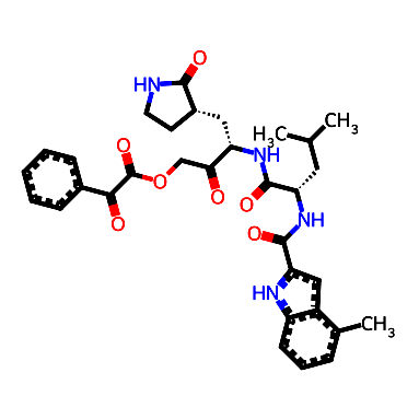 Cc1cccc2[nH]c(C(=O)N[C@@H](CC(C)C)C(=O)N[C@@H](C[C@@H]3CCNC3=O)C(=O)COC(=O)C(=O)c3ccccc3)cc12